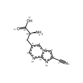 N#Cc1cn2cc(C[C@H](N)C(=O)O)cnc2n1